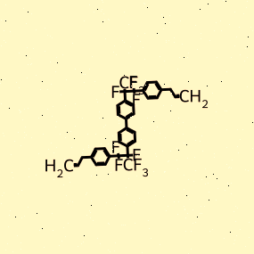 C=CCc1ccc(C(F)(F)C(F)(c2ccc(-c3ccc(C(F)(C(F)(F)F)C(F)(F)c4ccc(CC=C)cc4)cc3)cc2)C(F)(F)F)cc1